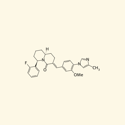 COc1cc(/C=C2\CC[C@@H]3CCC[C@H](c4ccccc4F)N3C2=O)ccc1-n1cnc(C)c1